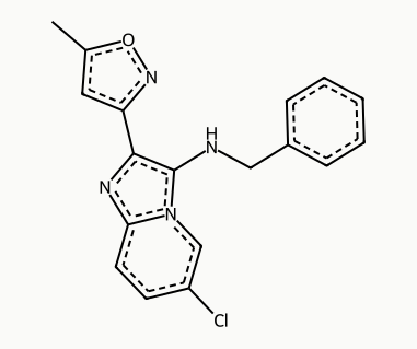 Cc1cc(-c2nc3ccc(Cl)cn3c2NCc2ccccc2)no1